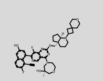 C#Cc1c(F)ccc2cc(O)cc(-c3ncc4c(N5CCOC[C@@](C)(O)C5)nc(OC[C@]56CCC[C@H]5N(C5CC7(CCOCC7)C5)CCC6)nc4c3F)c12